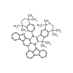 CC1(C)CCC(C)(C)c2cc(N3C4=C(B5c6c(cc7c(oc8ccccc87)c63)-c3cccc6c7ccccc7n5c36)C(C)(C)c3cc5c(cc34)C(C)(C)CCC5(C)C)ccc21